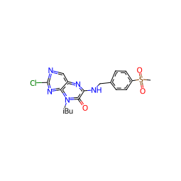 CCC(C)n1c(=O)c(NCc2ccc(S(C)(=O)=O)cc2)nc2cnc(Cl)nc21